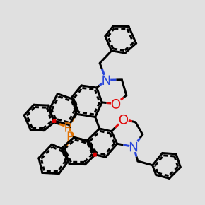 c1ccc(CN2CCOc3c2ccc(P(c2ccccc2)c2ccccc2)c3-c2c(P(c3ccccc3)c3ccccc3)ccc3c2OCCN3Cc2ccccc2)cc1